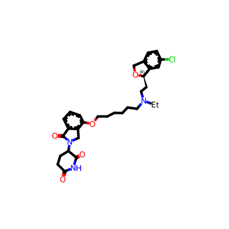 CCN(CCCCCCOc1cccc2c1CN(C1CCC(=O)NC1=O)C2=O)CC[C@H]1OCc2ccc(Cl)cc21